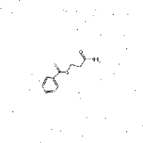 NC(=O)CCSC(=S)c1ccccc1